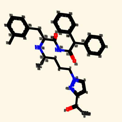 COC(=O)c1ccn(CCC[C@@H](C#N)N[C@@H](Cc2cccc(C)c2)C(=O)NC(=O)C(c2ccccc2)c2ccccc2)n1